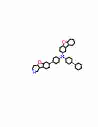 c1ccc(-c2ccc(N(c3ccc(-c4ccc5c(c4)oc4ccncc45)cc3)c3ccc4oc5ccccc5c4c3)cc2)cc1